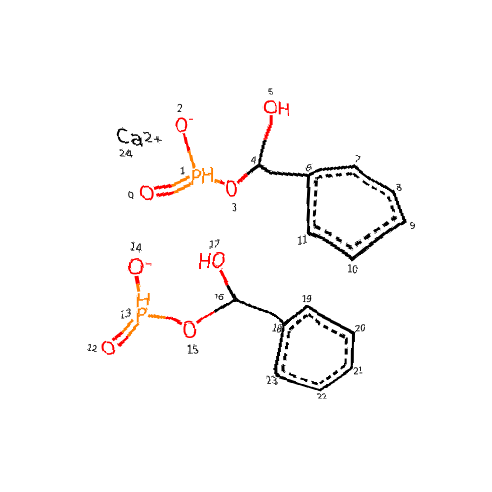 O=[PH]([O-])OC(O)c1ccccc1.O=[PH]([O-])OC(O)c1ccccc1.[Ca+2]